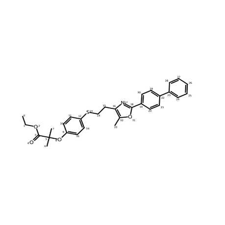 CCOC(=O)C(C)(C)Oc1ccc(SCCc2nc(-c3ccc(-c4ccccc4)cc3)oc2C)cc1